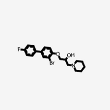 OC(COc1ccc(-c2ccc(F)cc2)cc1Br)CN1CCCCC1